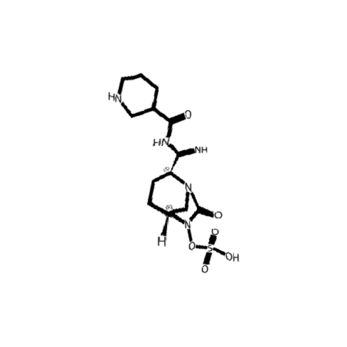 N=C(NC(=O)C1CCCNC1)[C@@H]1CC[C@@H]2CN1C(=O)N2OS(=O)(=O)O